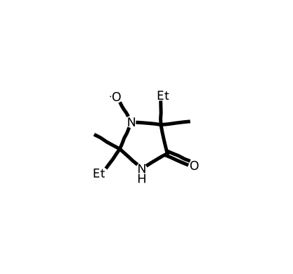 CCC1(C)NC(=O)C(C)(CC)N1[O]